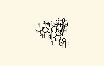 [2H]c1c([2H])c(C2c3[nH]c4c([2H])c([2H])c([2H])c([2H])c4c3C([2H])([2H])[C@@H]3C(=O)N(C([2H])([2H])[2H])C([2H])([2H])C(=O)N23)c([2H])c2c1OC([2H])([2H])O2